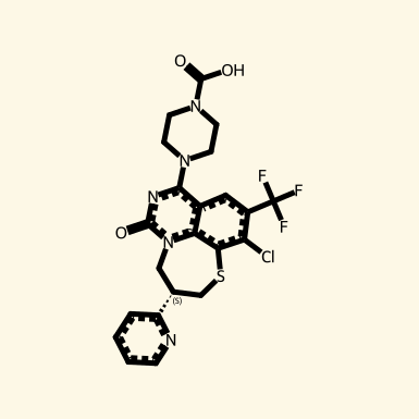 O=C(O)N1CCN(c2nc(=O)n3c4c(c(Cl)c(C(F)(F)F)cc24)SC[C@H](c2ccccn2)C3)CC1